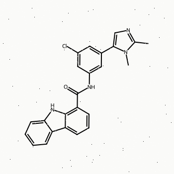 Cc1ncc(-c2cc(Cl)cc(NC(=O)c3cccc4c3[nH]c3ccccc34)c2)n1C